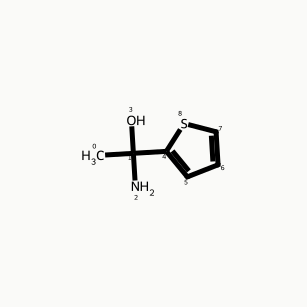 CC(N)(O)c1cccs1